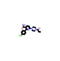 C=CC(=O)N1CCN(c2ccc(C(N)=O)c(-c3ccc(Cl)cc3)n2)CC1